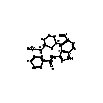 CSc1cnc2[nH]cc(NC(=O)c3cccnc3)c2c1N1CCCC(NC(=O)O)C1